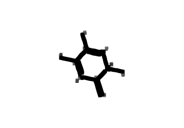 C=C1N=C(C)C(C)=NN1C